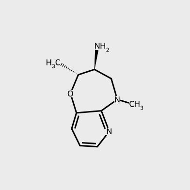 C[C@H]1Oc2cccnc2N(C)C[C@@H]1N